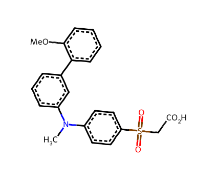 COc1ccccc1-c1cccc(N(C)c2ccc(S(=O)(=O)CC(=O)O)cc2)c1